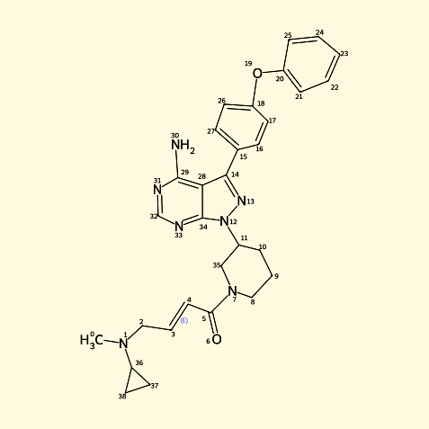 CN(C/C=C/C(=O)N1CCCC(n2nc(-c3ccc(Oc4ccccc4)cc3)c3c(N)ncnc32)C1)C1CC1